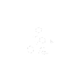 COC(=O)C(Oc1ccc(CBr)cc1C(=O)c1ccccc1)c1ccccc1